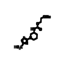 COCCOC(=O)N[C@H]1CCCN(c2nc(C(=O)O)cs2)C1